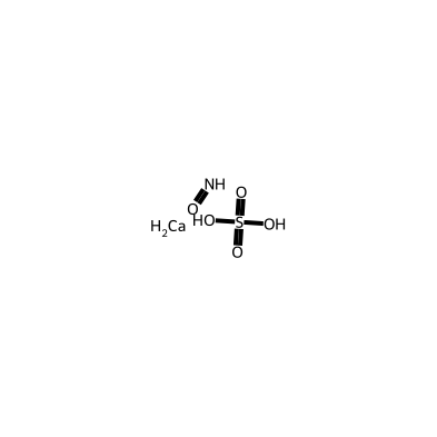 N=O.O=S(=O)(O)O.[CaH2]